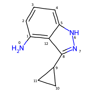 Nc1cccc2[nH]nc(C3CC3)c12